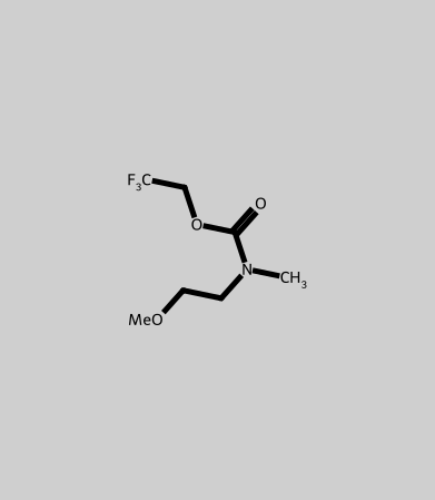 COCCN(C)C(=O)OCC(F)(F)F